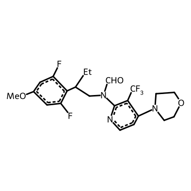 CCC(CN(C=O)c1nccc(N2CCOCC2)c1C(F)(F)F)c1c(F)cc(OC)cc1F